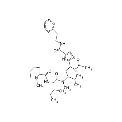 CCC(C)C(NC(=O)C1CCCCN1C)C(=O)N(C)C(CC(OC(C)=O)c1nc(C(=O)NCCc2ccccc2)cs1)C(C)C